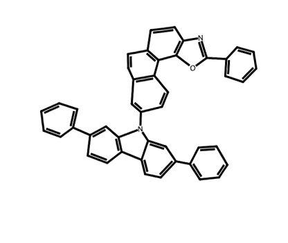 c1ccc(-c2ccc3c4ccc(-c5ccccc5)cc4n(-c4ccc5c(ccc6ccc7nc(-c8ccccc8)oc7c65)c4)c3c2)cc1